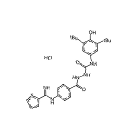 CC(C)(C)c1cc(NC(=O)NNC(=O)c2ccc(NC(=N)c3cccs3)cc2)cc(C(C)(C)C)c1O.Cl